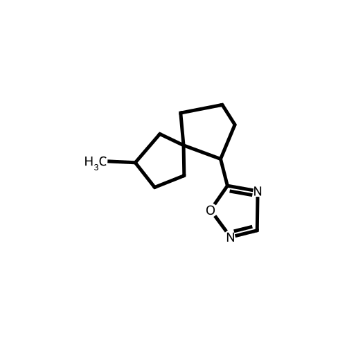 CC1CCC2(CCCC2c2ncno2)C1